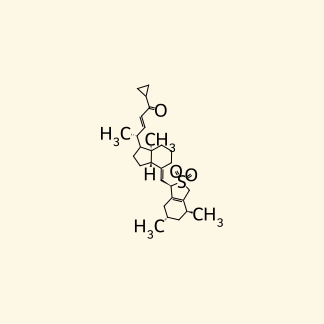 C[C@@H]1CC2=C(CS(=O)(=O)[C@@H]2/C=C2\CCC[C@]3(C)C([C@H](C)/C=C/C(=O)C4CC4)CC[C@@H]23)[C@@H](C)C1